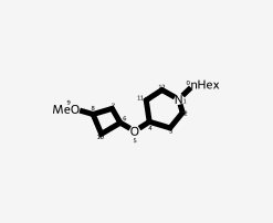 CCCCCCN1CCC(OC2CC(OC)C2)CC1